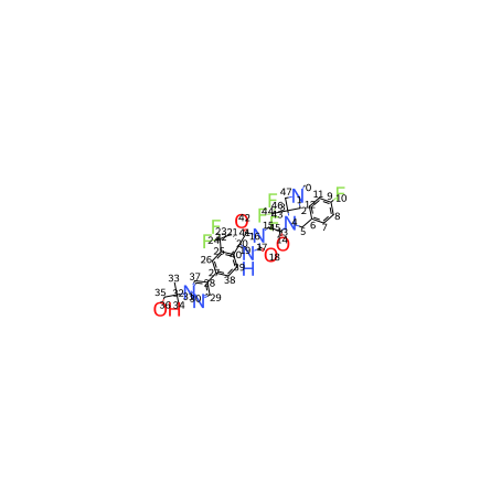 CN1CC(N(Cc2ccc(F)cc2)C(=O)CN2C(=O)N[C@]3(CC(F)(F)c4cc(-c5cnn(C(C)(C)CO)c5)ccc43)C2=O)(C(F)(F)F)C1